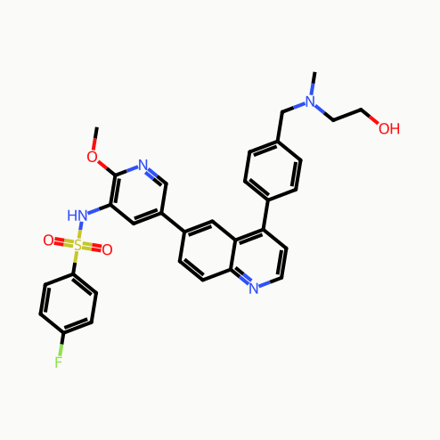 COc1ncc(-c2ccc3nccc(-c4ccc(CN(C)CCO)cc4)c3c2)cc1NS(=O)(=O)c1ccc(F)cc1